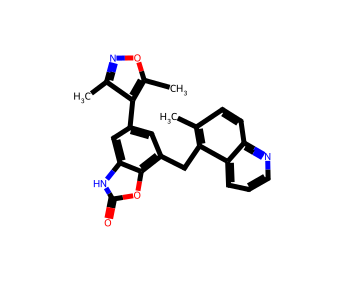 Cc1ccc2ncccc2c1Cc1cc(-c2c(C)noc2C)cc2[nH]c(=O)oc12